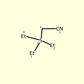 CCS(CC)(CC)CC#N